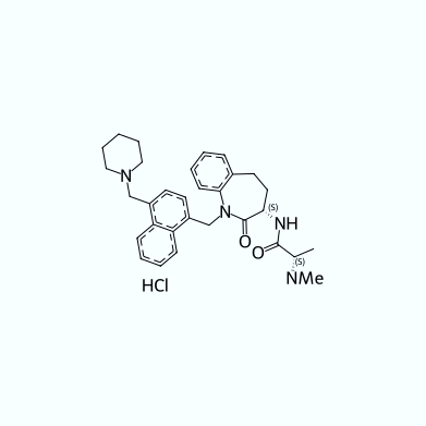 CN[C@@H](C)C(=O)N[C@H]1CCc2ccccc2N(Cc2ccc(CN3CCCCC3)c3ccccc23)C1=O.Cl